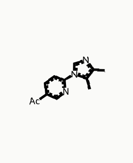 CC(=O)c1ccc(-n2cnc(C)c2C)nc1